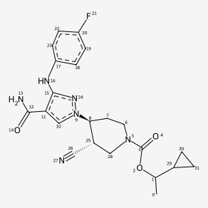 CC(OC(=O)N1CC[C@H](n2cc(C(N)=O)c(Nc3ccc(F)cc3)n2)[C@@H](C#N)C1)C1CC1